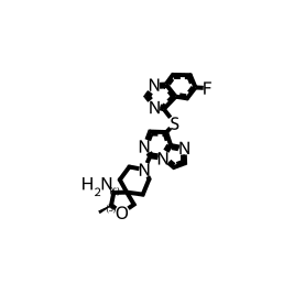 C[C@@H]1OCC2(CCN(c3ncc(Sc4ncnc5ccc(F)cc45)c4nccn34)CC2)[C@@H]1N